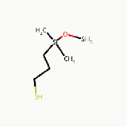 C[Si](C)(CCCS)O[SiH3]